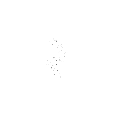 CCNc1nc([C@H]2C[C@H]3CC3N2C(=O)[C@H](O)[C@@H](O)C(=O)N[C@H](C)c2ccc(-n3cccn3)cc2)cs1